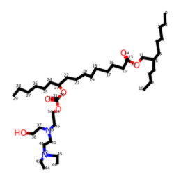 CCCCCCC(CCCC)COC(=O)CCCCCCCCC(CCCCCC)OC(=O)OCCN(CCO)CCN(CC)CC